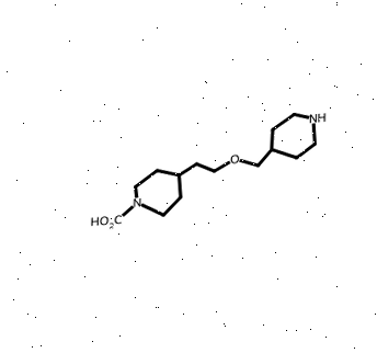 O=C(O)N1CCC(CCOCC2CCNCC2)CC1